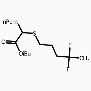 CCCCCC(SCCCC(C)(F)F)C(=O)OCC(C)C